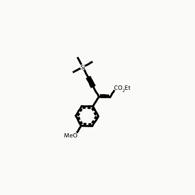 CCOC(=O)C=C(C#C[Si](C)(C)C)c1ccc(OC)cc1